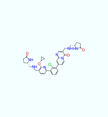 O=C1CC[C@@H](CNCc2ccc(-c3cccc(-c4ccn5c(=O)c(CNC[C@@H]6CCC(=O)N6)cnc5c4)c3Cl)nc2OC2CC2)N1